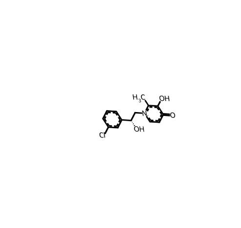 Cc1c(O)c(=O)ccn1C[C@H](O)c1cccc(Cl)c1